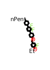 CCCCCC1CCC(c2ccc(C3CCC(OCc4ccc(OCC)c(F)c4)CC3)c(F)c2F)CC1